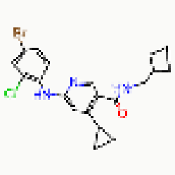 O=C(NCC1CCC1)c1cnc(Nc2ccc(Br)cc2Cl)cc1C1CC1